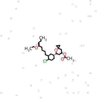 CC/C=C(\CCCCC1CC([C@H]2C[C@@H](OC(C)=O)CC3(CC3)O2)CCC1Cl)OCC